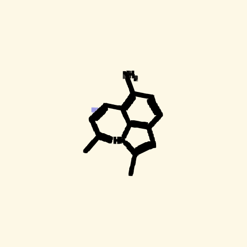 C=C(C)/C=C\c1c(N)ccc2cc(C)[nH]c12